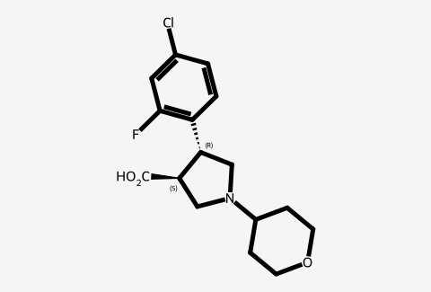 O=C(O)[C@@H]1CN(C2CCOCC2)C[C@H]1c1ccc(Cl)cc1F